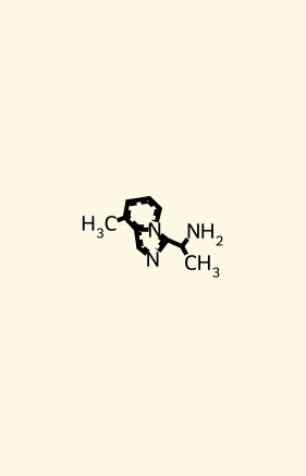 Cc1cccn2c(C(C)N)ncc12